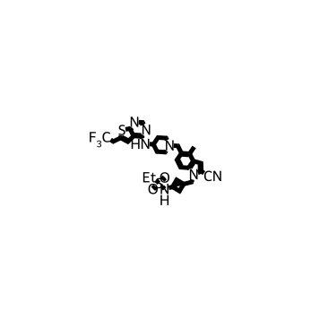 CCS(=O)(=O)NC12CC(Cn3c(C#N)cc4c(C)c(CN5CCC(Nc6ncnc7sc(CC(F)(F)F)cc67)CC5)ccc43)(C1)C2